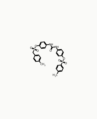 Cc1ccc(CS(=O)(=O)Oc2ccc(NC(=O)Nc3ccc(OS(=O)(=O)c4ccc(C)cc4)cc3)cc2)cc1